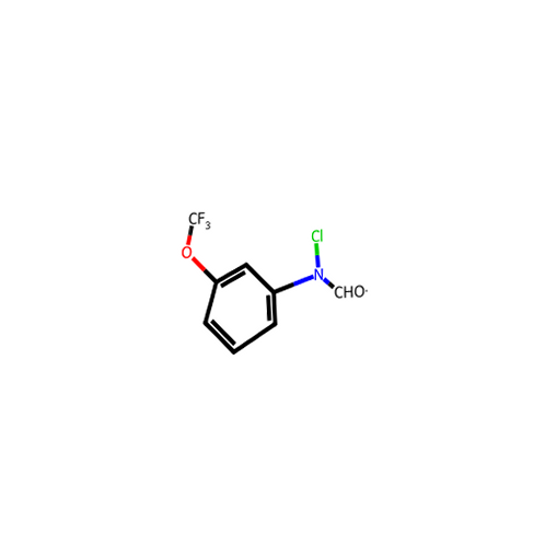 O=[C]N(Cl)c1cccc(OC(F)(F)F)c1